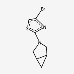 Brc1csc(N2CC3CC3C2)n1